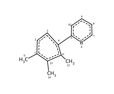 Cc1ccc(-c2bcccc2)c(C)c1C